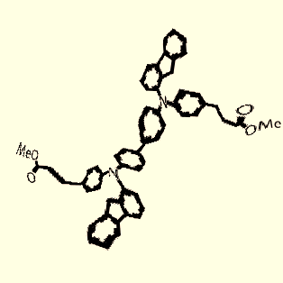 COC(=O)CCc1ccc(N(c2ccc(-c3ccc(N(c4ccc(CCC(=O)OC)cc4)c4cccc5c4Cc4ccccc4-5)cc3)cc2)c2cccc3c2Cc2ccccc2-3)cc1